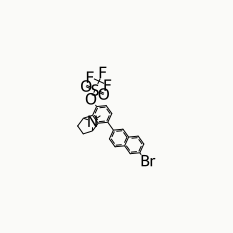 CN1C2CCC1c1c(-c3ccc4cc(Br)ccc4c3)ccc(OS(=O)(=O)C(F)(F)F)c12